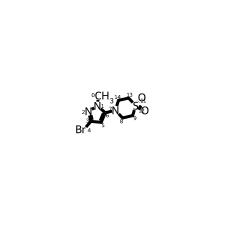 Cn1nc(Br)cc1N1CCS(=O)(=O)CC1